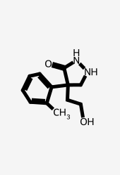 Cc1ccccc1C1(CCO)CNNC1=O